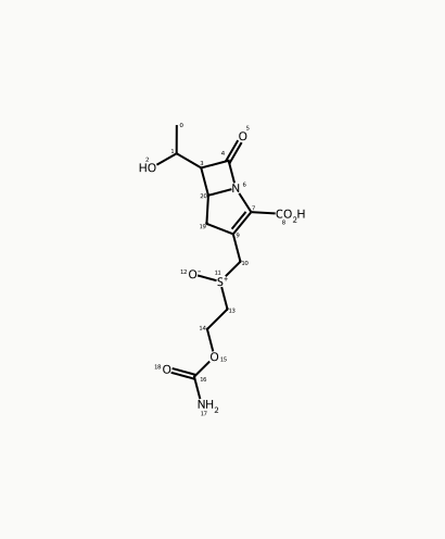 CC(O)C1C(=O)N2C(C(=O)O)=C(C[S+]([O-])CCOC(N)=O)CC12